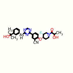 CC(O)C(=O)N1CC[C@H](Oc2ccc(-c3ncnc([AsH]c4cccc(C(C)(C)O)c4)n3)cc2C#N)[C@H](F)C1